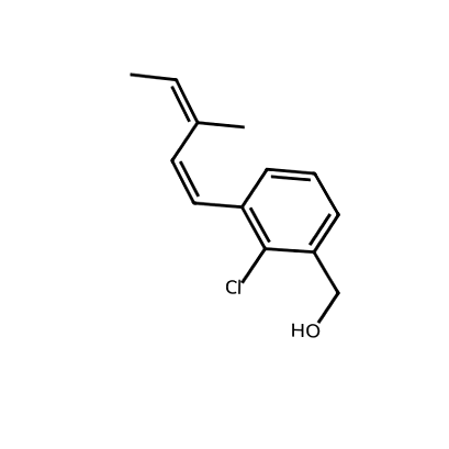 C/C=C(C)\C=C/c1cccc(CO)c1Cl